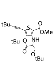 COC(=O)c1sc(C#CC(C)(C)C)cc1NC(COC(C)(C)C)C(=O)OC(C)(C)C